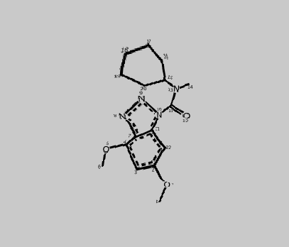 COc1cc(OC)c2nnn(C(=O)N(C)C3CCCCC3)c2c1